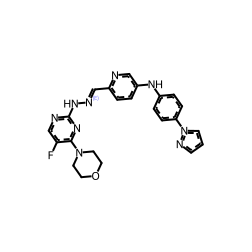 Fc1cnc(N/N=C/c2ccc(Nc3ccc(-n4cccn4)cc3)cn2)nc1N1CCOCC1